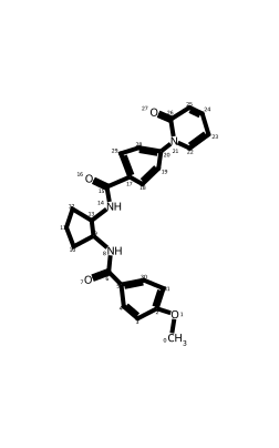 COc1ccc(C(=O)NC2CCCC2NC(=O)c2ccc(-n3ccccc3=O)cc2)cc1